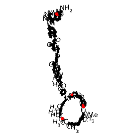 CO[C@H]1C[C@@H]2CCCC(O2)C(=O)C(=O)N2CCCC[C@H]2C(=O)O[C@H](CC[C@H]2CC[C@H](OC(=O)NCc3cnc(N4CCN(C(=O)CCOCCN5CCN(C(=O)CCC(=O)N6CCc7cc(Cn8nc(-c9ccc%10oc(N)nc%10c9)c9c(N)ncnc98)ccc7C6)CC5)CC4)nc3)CC2)CC[C@H](C)/C=C(\C)[C@@H](O)CC(=O)[C@H](C)C[C@H](C)/C=C/C=C/C=C/1C